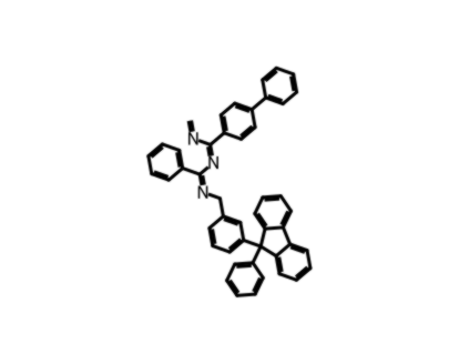 C=N/C(=N\C(=N/Cc1cccc(C2(c3ccccc3)c3ccccc3-c3ccccc32)c1)c1ccccc1)c1ccc(-c2ccccc2)cc1